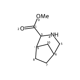 COC(=O)C1NCC2CC[C]1C2